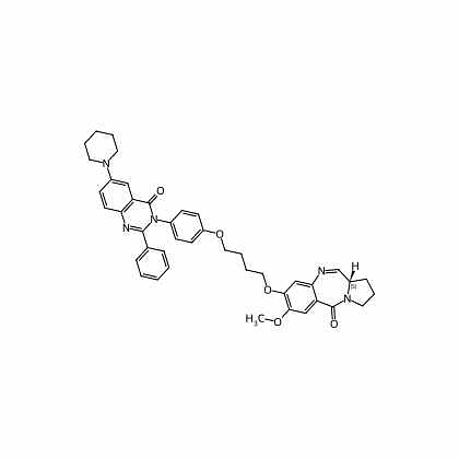 COc1cc2c(cc1OCCCCOc1ccc(-n3c(-c4ccccc4)nc4ccc(N5CCCCC5)cc4c3=O)cc1)N=C[C@@H]1CCCN1C2=O